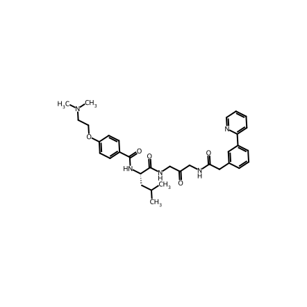 CC(C)C[C@H](NC(=O)c1ccc(OCCN(C)C)cc1)C(=O)NCC(=O)CNC(=O)Cc1cccc(-c2ccccn2)c1